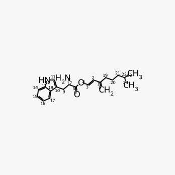 C=C(C=COC(=O)[C@@H](N)Cc1c[nH]c2ccccc12)CCCC(C)C